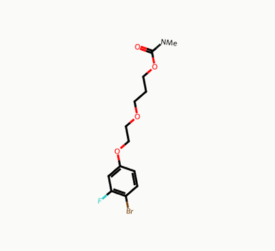 CNC(=O)OCCCOCCOc1ccc(Br)c(F)c1